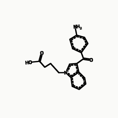 Nc1ccc(C(=O)c2cn(CCCC(=O)O)c3ccccc23)cc1